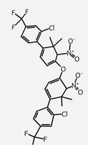 CC1(C)C(c2ccc(C(F)(F)F)cc2Cl)=CC=C(OC2=CC=C(c3ccc(C(F)(F)F)cc3Cl)C(C)(C)C2[N+](=O)[O-])C1[N+](=O)[O-]